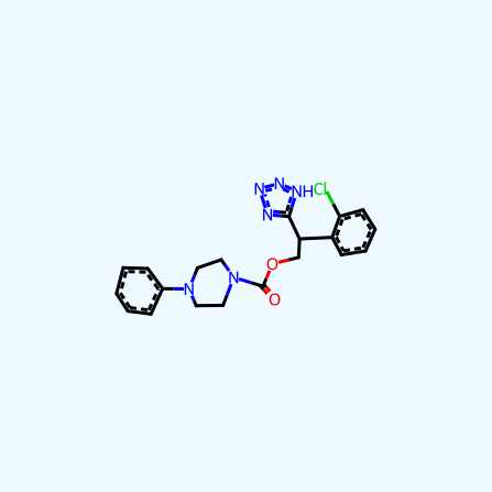 O=C(OCC(c1nnn[nH]1)c1ccccc1Cl)N1CCN(c2ccccc2)CC1